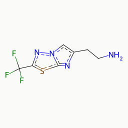 NCCc1cn2nc(C(F)(F)F)sc2n1